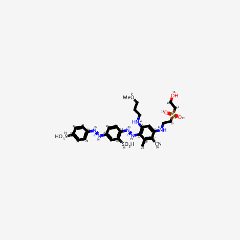 COCCCNc1cc(NCCS(=O)(=O)CCO)c(C#N)c(C)c1/N=N/c1ccc(/N=N/c2ccc(S(=O)(=O)O)cc2)cc1S(=O)(=O)O